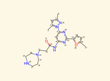 Cc1cc(C)n(-c2cc(NC(=O)CCN3CCCNCC3)nc(-c3ccc(C)o3)n2)n1